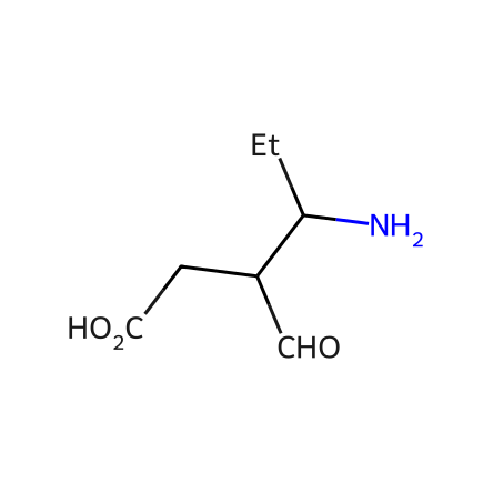 [CH2]CC(N)C(C=O)CC(=O)O